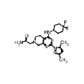 Cc1cc(C)n(-c2nc3c(c(NC4CCC(F)(F)CC4)n2)CCN(CC(N)=O)C3)n1